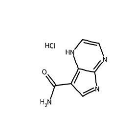 Cl.NC(=O)c1cnc2ncc[nH]c1-2